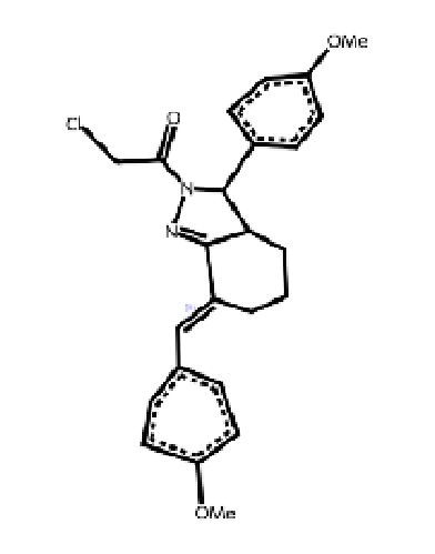 COc1ccc(/C=C2\CCCC3C2=NN(C(=O)CCl)C3c2ccc(OC)cc2)cc1